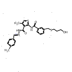 Cc1ccc(/C=N/NC(=O)c2c(C)csc2NC(=O)c2cccc(CSCCCO)c2)cc1